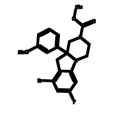 COc1cccc(C23Cc4c(Br)cc(F)cc4N2CCN(C(=O)OC(C)(C)C)C3)c1